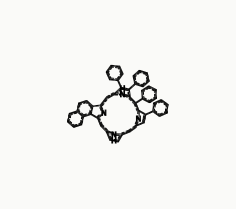 C1=C(c2ccccc2)c2nc1cc1ccc(cc3nc(cc4[nH]c(c2-c2ccccc2)c(-c2ccccc2)c4-c2ccccc2)-c2ccc4ccccc4c2-3)[nH]1